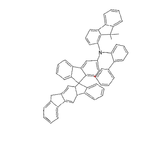 CC1(C)c2ccccc2-c2cccc(N(c3ccc4c(c3)-c3ccccc3C43c4ccccc4C4C=C5C(=CC43)Cc3ccccc35)c3ccccc3-c3ccccc3)c21